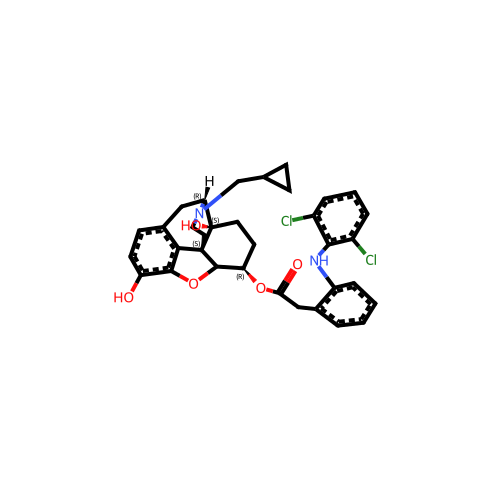 O=C(Cc1ccccc1Nc1c(Cl)cccc1Cl)O[C@@H]1CC[C@@]2(O)[C@H]3Cc4ccc(O)c5c4[C@@]2(CCN3CC2CC2)C1O5